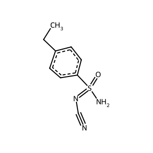 CCc1ccc(S(N)(=O)=NC#N)cc1